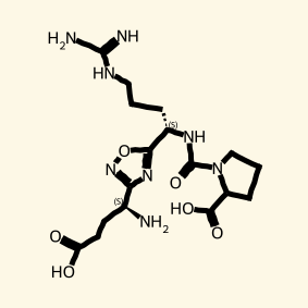 N=C(N)NCCC[C@H](NC(=O)N1CCCC1C(=O)O)c1nc([C@@H](N)CCC(=O)O)no1